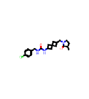 CC1CCN(CC2CC3(C2)CC(NC(=O)NCc2ccc(Cl)cc2)C3)C1=O